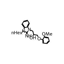 CCCCCCn1c(=N)n(CC(O)COc2ccccc2OC)c2ccccc21